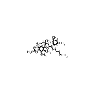 CCCCCCN(C(=O)CC1(C)CCc2c(C)c(OC(C)=O)c(C)c(C)c2O1)c1cc(C)cc(C)n1